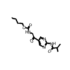 CCCCOC(=O)NCC(=O)c1cnc(NC(=O)C(C)C)nc1